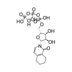 O=c1c2c(ccn1[C@@H]1O[C@H](COP(=O)(O)OP(=O)(O)OP(=O)(O)O)[C@@H](O)[C@H]1O)CCCC2